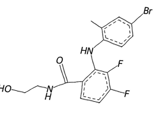 Cc1cc(Br)ccc1Nc1c(C(=O)NCCO)ccc(F)c1F